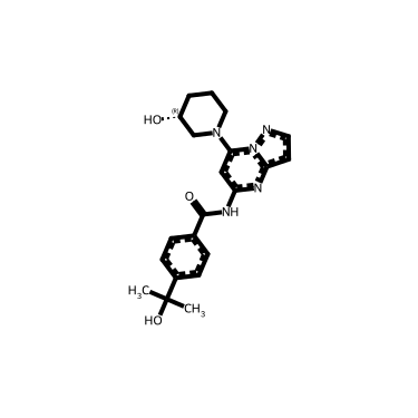 CC(C)(O)c1ccc(C(=O)Nc2cc(N3CCC[C@@H](O)C3)n3nccc3n2)cc1